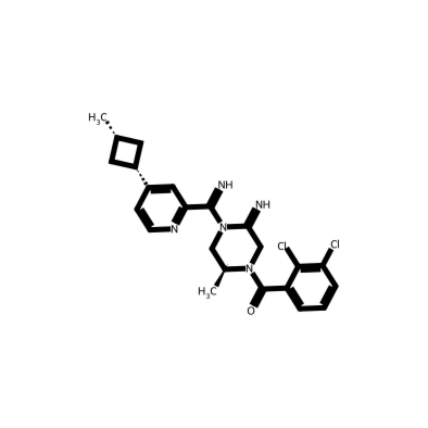 C[C@H]1CN(C(=N)c2cc([C@H]3C[C@@H](C)C3)ccn2)C(=N)CN1C(=O)c1cccc(Cl)c1Cl